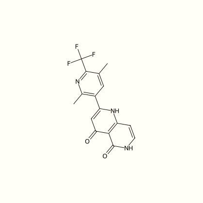 Cc1cc(-c2cc(=O)c3c(=O)[nH]ccc3[nH]2)c(C)nc1C(F)(F)F